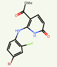 COC(=O)c1ccc(=O)[nH]c1Nc1ccc(Br)cc1F